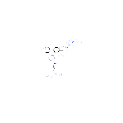 Cc1cc(-c2c(F)cncc2N2CCN(C(=O)/C=C/CN(C)C)CC2)ccc1CNC(=O)c1noc(C(C)(C)C)n1